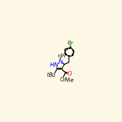 CCCN1NC(C(C)(C)C)=C(C(=O)OC)C1Cc1ccc(Br)cc1